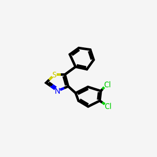 Clc1ccc(-c2ncsc2-c2ccccc2)cc1Cl